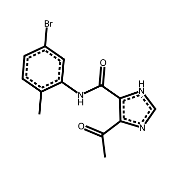 CC(=O)c1nc[nH]c1C(=O)Nc1cc(Br)ccc1C